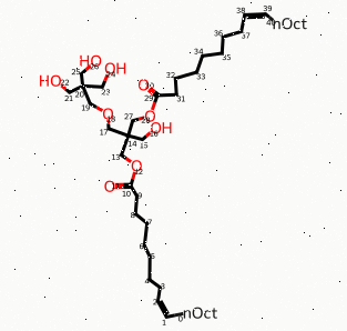 CCCCCCCC/C=C\CCCCCCCC(=O)OCC(CO)(COCC(CO)(CO)CO)COC(=O)CCCCCCC/C=C\CCCCCCCC